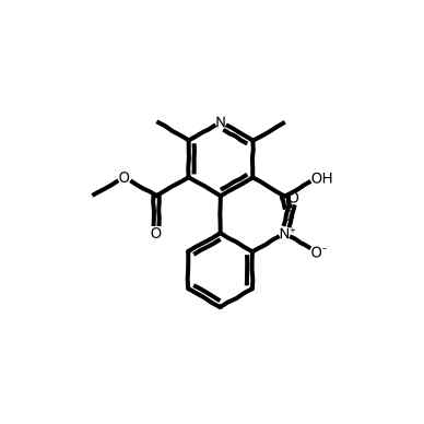 COC(=O)c1c(C)nc(C)c(C(=O)O)c1-c1ccccc1[N+](=O)[O-]